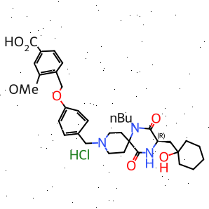 CCCCN1C(=O)[C@@H](CC2(O)CCCCC2)NC(=O)C12CCN(Cc1ccc(OCc3ccc(C(=O)O)cc3OC)cc1)CC2.Cl